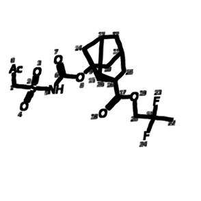 CC(=O)CS(=O)(=O)NC(=O)OC12CC3CC(C1)CC(C(=O)OCC(C)(F)F)(C3)C2